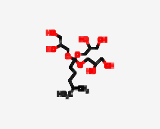 C=C(CCCC(OCC(O)CO)(OCC(O)CO)OCC(O)CO)C(=O)O